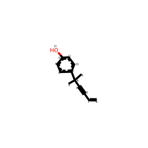 C=CC#CC(C)(C)c1ccc(O)cc1